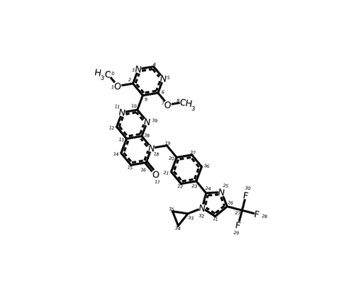 COc1ncnc(OC)c1-c1ncc2ccc(=O)n(Cc3ccc(-c4nc(C(F)(F)F)cn4C4CC4)cc3)c2n1